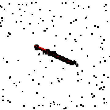 CC(C)(C)OC(=O)CCCCCCCCCCCCCCCCC(=O)NCCCC(=O)NCOCCOCCOCCOCCOCCOCCOCCOCCOCCOCCOCCN